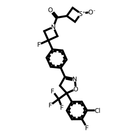 O=C(C1C[S+]([O-])C1)N1CC(F)(c2ccc(C3=NOC(c4ccc(F)c(Cl)c4)(C(F)(F)F)C3)cc2)C1